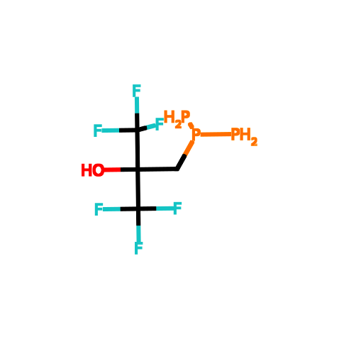 OC(CP(P)P)(C(F)(F)F)C(F)(F)F